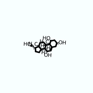 C#C[C@@H]1CC[C@H]2[C@@H]3[C@@H](O)C=C4C[C@@H](O)CC(O)[C@]4(C)[C@H]3CC[C@]12C